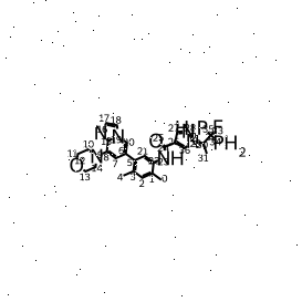 Cc1cc(C)c(-c2cc(N3CCOCC3)c3nccn3c2)cc1NC(=O)c1cnn(C(C)C(F)(P)P)c1